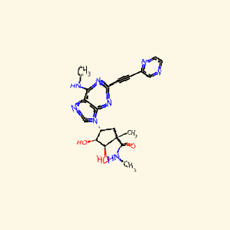 CNC(=O)[C@@]1(C)C[C@@H](n2cnc3c(NC)nc(C#Cc4cnccn4)nc32)[C@H](O)[C@@H]1O